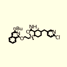 CCCCc1cc2ccccc2c(OCC[N+](C)(C)C2CCC(Cc3ccc(Cl)nc3)CC2C(N)=O)n1